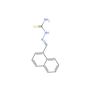 NC(=S)N/N=C/c1cccc2ccccc12